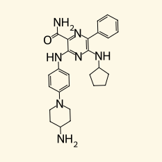 NC(=O)c1nc(-c2ccccc2)c(NC2CCCC2)nc1Nc1ccc(N2CCC(N)CC2)cc1